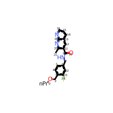 CCCOCc1ccc(CNC(=O)c2cc3cccnc3nc2C)cc1F